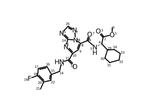 COC(=O)[C@@H](NC(=O)c1cc(C(=O)NCc2ccc(F)c(C)c2)nc2ncnn12)C1CCCCC1